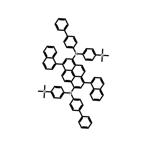 C[Si](C)(C)c1ccc(N(c2ccc(-c3ccccc3)cc2)c2cc(-c3cccc4ccccc34)c3ccc4c(N(c5ccc(-c6ccccc6)cc5)c5ccc([Si](C)(C)C)cc5)cc(-c5cccc6ccccc56)c5ccc2c3c54)cc1